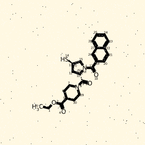 CCOC(=O)C1CCN(C(=O)[C@@H]2C[C@@H](S)CN2C(=O)c2ccc3ccccc3c2)CC1